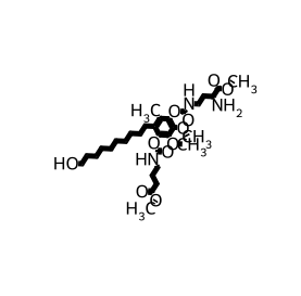 COC(=O)CCCNC(=O)Oc1c(CCCCCCCCCCO)c(C)c(OC(=O)NCCC(N)C(=O)OC)c(OC)c1OC